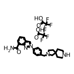 NC(=O)c1cccc2cn(-c3ccc(CN4CCC5(CCNCC5)C4)cc3)nc12.O=C(O)C(F)(F)F.O=C(O)C(F)(F)F